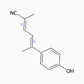 C/C(C#N)=C\C=C(/C)c1ccc(O)cc1